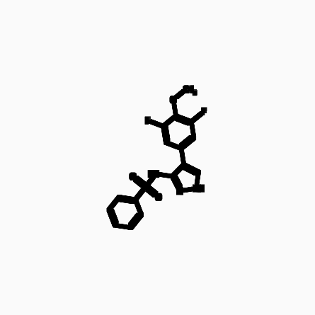 COc1c(F)cc(-c2c[nH]nc2NS(=O)(=O)c2ccccc2)cc1F